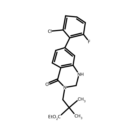 CCOC(=O)C(C)(C)CN1CNc2cc(-c3c(F)cccc3Cl)ccc2C1=O